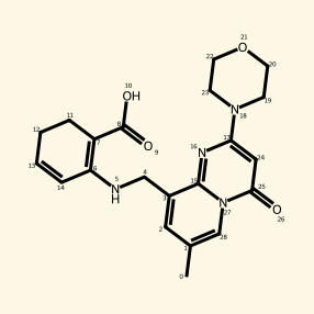 Cc1cc(CNC2=C(C(=O)O)CCC=C2)c2nc(N3CCOCC3)cc(=O)n2c1